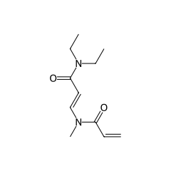 C=CC(=O)N(C)/C=C/C(=O)N(CC)CC